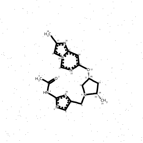 CC(=O)Nc1ncc(CN2C[C@H](Oc3cc4nc(C)cn4cn3)C[C@@H]2C)s1